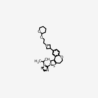 CC(C)n1ncnc1N1CC2=C(CCOc3ccc(C4CN(CCOC5CCCCO5)C4)cc32)S1